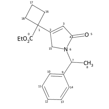 CCOC(=O)C1(C2=CC(=O)N(C(C)c3ccccc3)C2)CCC1